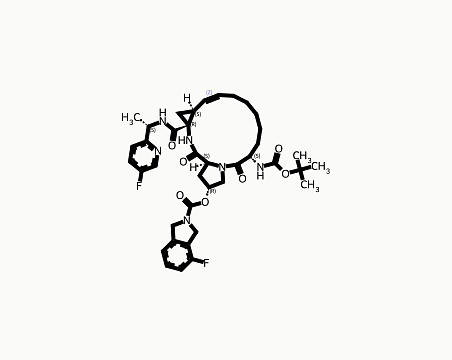 C[C@H](NC(=O)[C@@]12C[C@H]1/C=C\CCCCC[C@H](NC(=O)OC(C)(C)C)C(=O)N1C[C@H](OC(=O)N3Cc4cccc(F)c4C3)C[C@H]1C(=O)N2)c1ccc(F)cn1